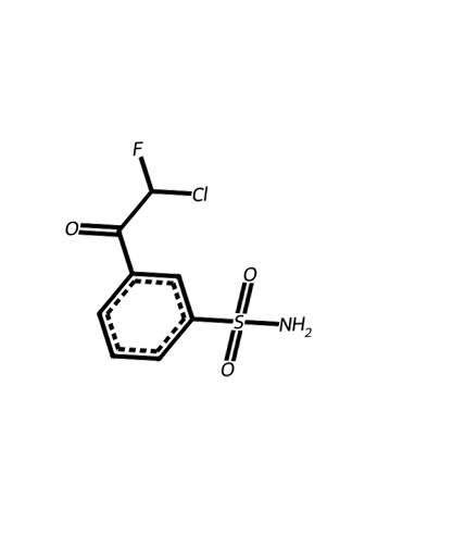 NS(=O)(=O)c1cccc(C(=O)C(F)Cl)c1